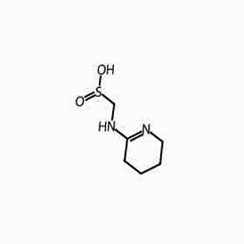 O=S(O)CNC1=NCCCC1